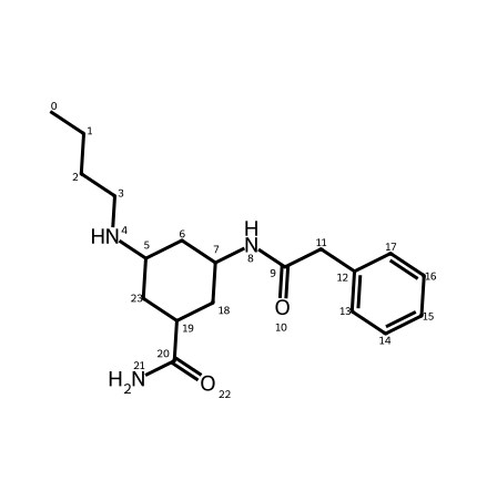 CCCCNC1CC(NC(=O)Cc2ccccc2)CC(C(N)=O)C1